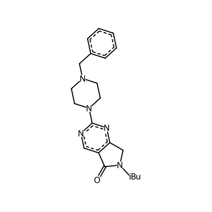 CCC(C)N1Cc2nc(N3CCN(Cc4ccccc4)CC3)ncc2C1=O